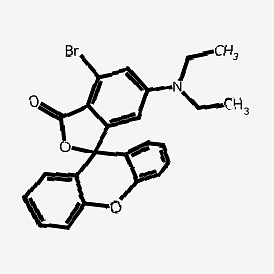 CCN(CC)c1cc(Br)c2c(c1)C1(OC2=O)c2ccccc2Oc2ccccc21